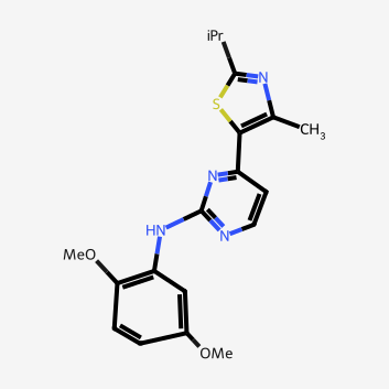 COc1ccc(OC)c(Nc2nccc(-c3sc(C(C)C)nc3C)n2)c1